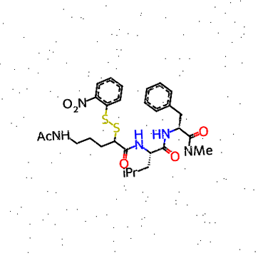 CNC(=O)[C@H](Cc1ccccc1)NC(=O)[C@H](CC(C)C)NC(=O)C(CCCNC(C)=O)SSc1ccccc1[N+](=O)[O-]